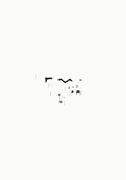 C=C(C)COCCC[Si](OC)(OC)OC.OB(O)O